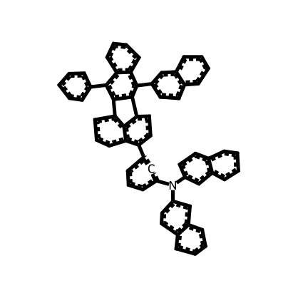 c1ccc(-c2c3c(c(-c4ccc5ccccc5c4)c4ccccc24)-c2ccc(-c4cccc(N(c5ccc6ccccc6c5)c5ccc6ccccc6c5)c4)c4cccc-3c24)cc1